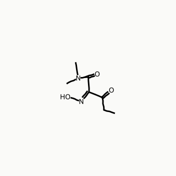 CCC(=O)C(=NO)C(=O)N(C)C